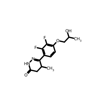 CC(O)COc1ccc(C2=NNC(=O)CC2C)c(F)c1F